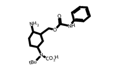 CC(C)(C)N(C(=O)O)C1CCC(N)C(COC(=O)Nc2ccccc2)C1